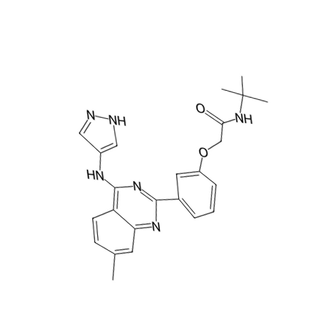 Cc1ccc2c(Nc3cn[nH]c3)nc(-c3cccc(OCC(=O)NC(C)(C)C)c3)nc2c1